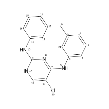 Cc1cccc(NC2=NC(Nc3ccccc3)NC=C2Cl)c1